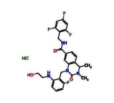 CC1c2ccc(C(=O)NCc3c(F)cc(F)cc3F)cc2N(Cc2c(F)cccc2NCCO)C(=O)N1C.Cl